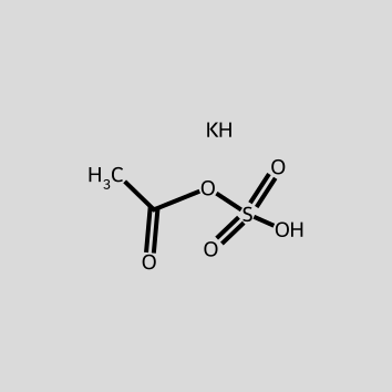 CC(=O)OS(=O)(=O)O.[KH]